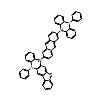 c1ccc(N2c3ccccc3N(c3ccc4cc5cc(N6c7ccccc7N(c7ccccc7)c7cc8c(cc76)sc6ccccc68)ccc5cc4c3)c3ccccc32)cc1